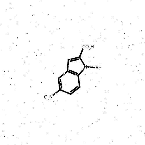 CC(=O)n1c(C(=O)O)cc2cc([N+](=O)[O-])ccc21